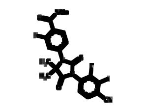 CNC(=O)c1ccc(N2C(=S)N(c3ccc(C#N)c(I)c3F)C(=O)C2(C)C)cc1F